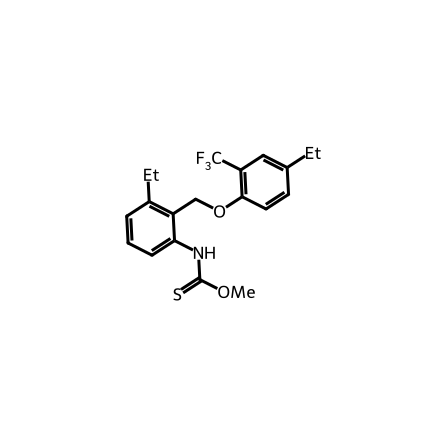 CCc1ccc(OCc2c(CC)cccc2NC(=S)OC)c(C(F)(F)F)c1